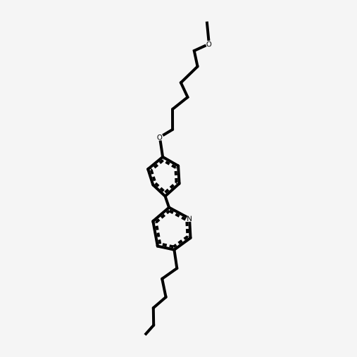 CCCCCCc1ccc(-c2ccc(OCCCCCCOC)cc2)nc1